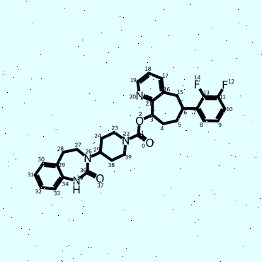 O=C(OC1CCC(c2cccc(F)c2F)Cc2cccnc21)N1CCC(N2CCc3ccccc3NC2=O)CC1